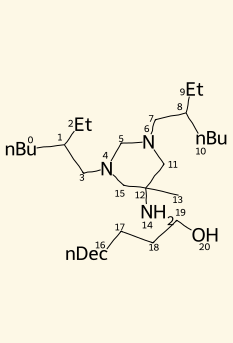 CCCCC(CC)CN1CN(CC(CC)CCCC)CC(C)(N)C1.CCCCCCCCCCCCCO